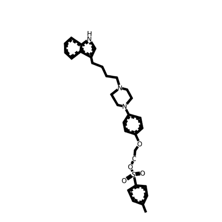 Cc1ccc(S(=O)(=O)OCCOc2ccc(N3CCN(CCCCc4c[nH]c5ccccc45)CC3)cc2)cc1